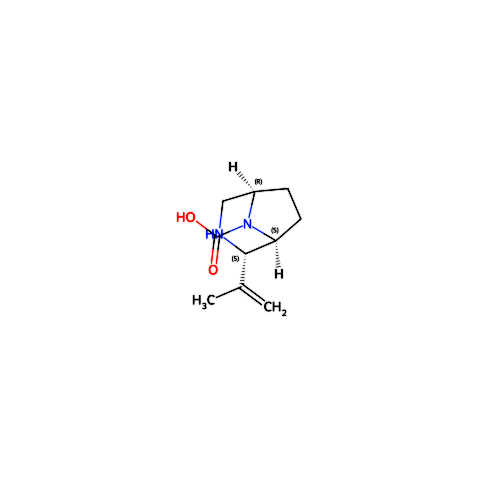 C=C(C)[C@@H]1NC[C@H]2CC[C@@H]1N2C(=O)O